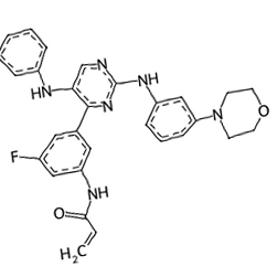 C=CC(=O)Nc1cc(F)cc(-c2nc(Nc3cccc(N4CCOCC4)c3)ncc2Nc2ccccc2)c1